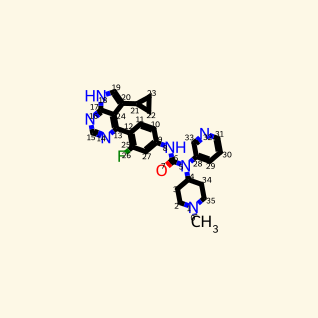 CN1CCC(N(C(=O)Nc2ccc(-c3ncnc4[nH]cc(C5CC5)c34)c(F)c2)c2cccnc2)CC1